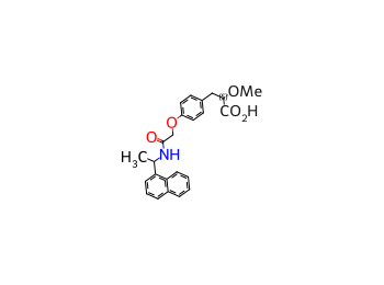 CO[C@@H](Cc1ccc(OCC(=O)NC(C)c2cccc3ccccc23)cc1)C(=O)O